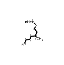 [CH2]CCCCCSCCC(C)CCCC(C)C